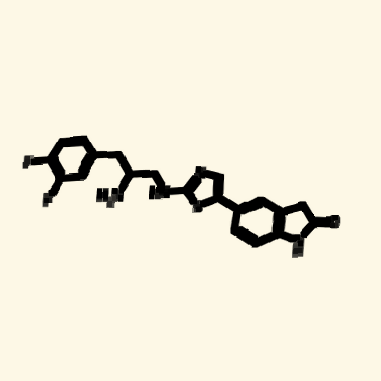 NC(CNc1ncc(-c2ccc3c(c2)CC(=O)N3)s1)Cc1ccc(F)c(F)c1